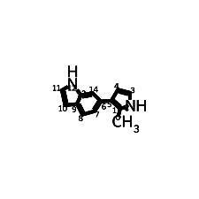 Cc1[nH]ccc1-c1ccc2cc[nH]c2c1